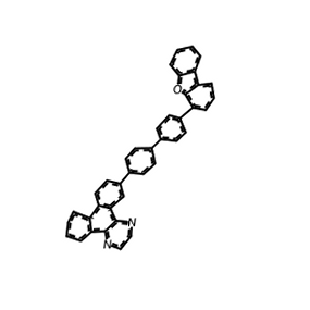 c1ccc2c(c1)oc1c(-c3ccc(-c4ccc(-c5ccc6c7ccccc7c7nccnc7c6c5)cc4)cc3)cccc12